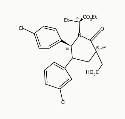 CCOC(=O)[C@H](CC)N1C(=O)[C@@](C)(CC(=O)O)CC(c2cccc(Cl)c2)[C@H]1c1ccc(Cl)cc1